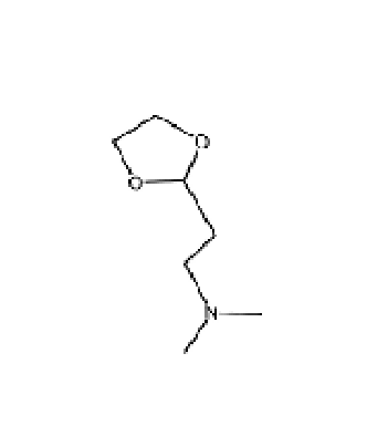 CN(C)CCC1OCCO1